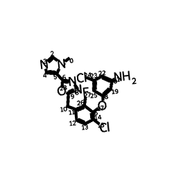 Cn1cncc1-c1nnc(Cc2ccc(Cl)c(Oc3cc(N)cc(Cl)c3)c2F)o1